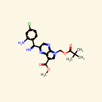 COC(=O)c1cn(COC(=O)C(C)(C)C)c2ncc(C(=N)c3ccc(Cl)cc3N)nc12